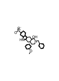 COc1cccc([C@@]23CCN(Cc4ccccc4)C[C@@]2(O)Cc2c([nH]c4cc([N+](=O)[O-])ccc24)C3)c1